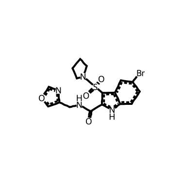 O=C(NCc1cocn1)c1[nH]c2ccc(Br)cc2c1S(=O)(=O)N1CCCC1